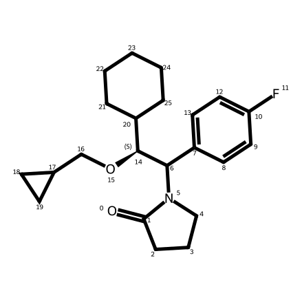 O=C1CCCN1C(c1ccc(F)cc1)[C@@H](OCC1CC1)C1CCCCC1